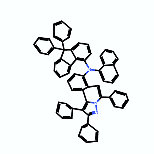 c1ccc(-c2nn3c(-c4ccccc4)cc4c(N(c5cccc6c5-c5ccccc5C6(c5ccccc5)c5ccccc5)c5cccc6ccccc56)cccc4c3c2-c2ccccc2)cc1